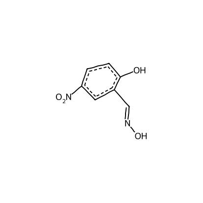 O=[N+]([O-])c1ccc(O)c(C=NO)c1